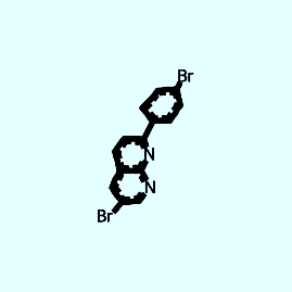 Brc1ccc(-c2ccc3cc(Br)cnc3n2)cc1